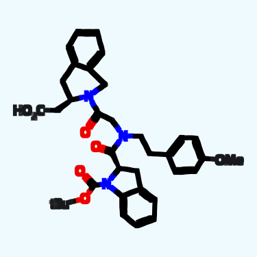 COc1ccc(CCN(CC(=O)N2Cc3ccccc3C[C@@H]2CC(=O)O)C(=O)[C@H]2Cc3ccccc3N2C(=O)OC(C)(C)C)cc1